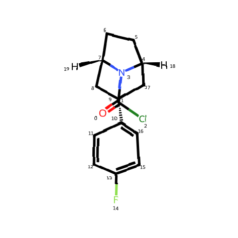 O=C(Cl)N1[C@@H]2CC[C@H]1C[C@@H](c1ccc(F)cc1)C2